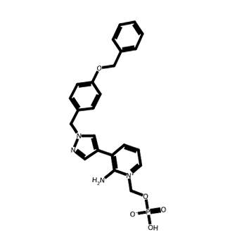 Nc1c(-c2cnn(Cc3ccc(OCc4ccccc4)cc3)c2)ccc[n+]1COP(=O)([O-])O